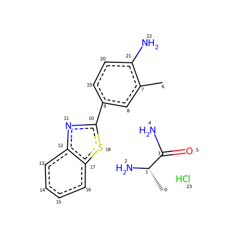 C[C@H](N)C(N)=O.Cc1cc(-c2nc3ccccc3s2)ccc1N.Cl